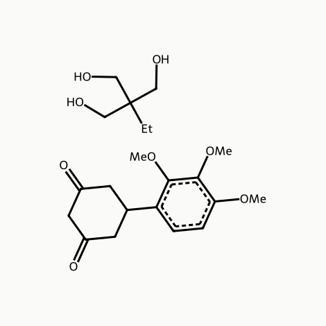 CCC(CO)(CO)CO.COc1ccc(C2CC(=O)CC(=O)C2)c(OC)c1OC